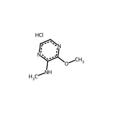 CNc1nccnc1OC.Cl